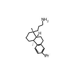 CC(C)c1ccc2c(c1)CC[C@H]1[C@@](C)(CCCN)CCC[C@]21C